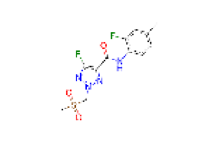 Cc1ccc(NC(=O)c2nn(CS(C)(=O)=O)nc2F)c(F)c1